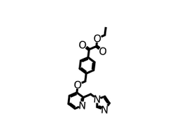 CCOC(=O)C(=O)c1ccc(COc2cccnc2Cn2ccnc2)cc1